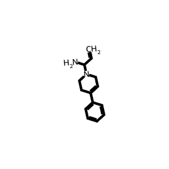 C=CC(N)N1CC=C(c2ccccc2)CC1